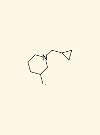 [CH2]C1CCCN(CC2CC2)C1